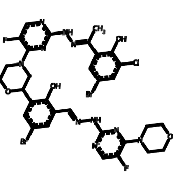 C/C(=N\Nc1ncc(F)c(N2CCOC(c3cc(Br)cc(/C=N/Nc4ncc(F)c(N5CCOCC5)n4)c3O)C2)n1)c1cc(Br)cc(Cl)c1O